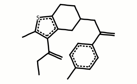 C=C(CC1CCc2sc(C)c(C(=C)CC)c2C1)c1ccc(C)cc1